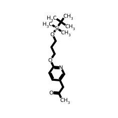 CC(=O)Cc1ccc(OCCCO[Si](C)(C)C(C)(C)C)nc1